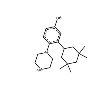 CC1(C)CC(c2cc(O)ccc2N2CCNCC2)CC(C)(C)C1